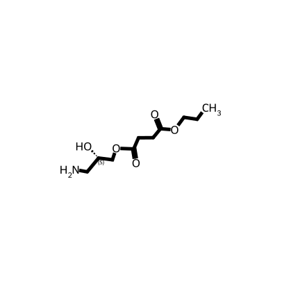 CCCOC(=O)CCC(=O)OC[C@@H](O)CN